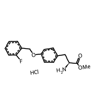 COC(=O)[C@@H](N)Cc1ccc(OCc2ccccc2F)cc1.Cl